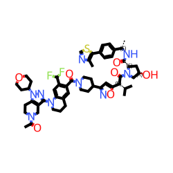 CC(=O)N1CCc2c(c(N3CCCc4cc(C(=O)N5CCC(c6cc([C@H](C(=O)N7C[C@H](O)C[C@H]7C(=O)N[C@@H](C)c7ccc(-c8scnc8C)cc7)C(C)C)on6)CC5)c(C(F)F)cc43)nn2C2CCOCC2)C1